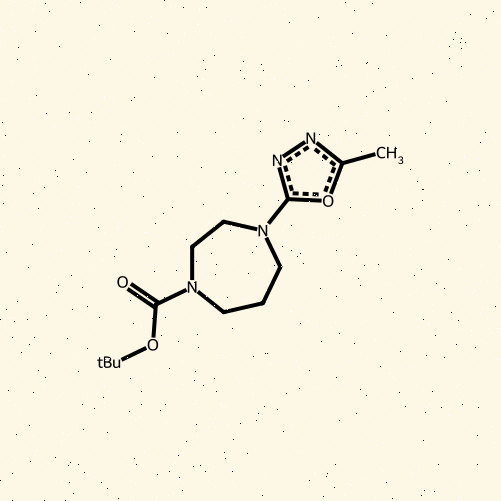 Cc1nnc(N2CCCN(C(=O)OC(C)(C)C)CC2)o1